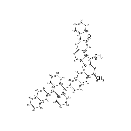 C=C(CC1Sc2ccc3cc4c(cc3c2C1=C)oc1ccccc14)c1ccc2cc(-c3c4ccccc4c(-c4ccc5ccccc5c4)c4ccccc34)ccc2c1